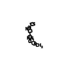 CN1CCCC(Cn2cc(-c3ccc4c(c3)ncn4-c3ccsc3)cnc2=O)C1